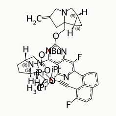 C=C1CN2C[C@@H]3C[C@@H]3C2(COc2nc3c4c(nc(-c5cccc6ccc(F)c(C#C[Si](C(C)C)(C(C)C)C(C)C)c56)c(F)c4n2)O[C@@H](C)[C@@H]2[C@@H]4CC[C@H](CN32)N4C(=O)OC(C)(C)C)C1